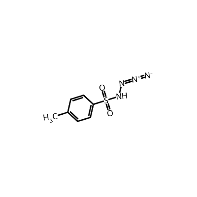 Cc1ccc(S(=O)(=O)NN=[N+]=[N-])cc1